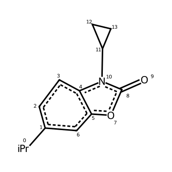 CC(C)c1ccc2c(c1)oc(=O)n2C1CC1